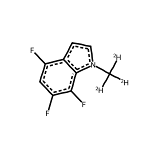 [2H]C([2H])([2H])n1ccc2c(F)cc(F)c(F)c21